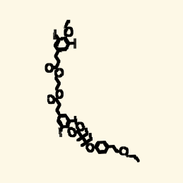 CCCOCCc1ccc(OC(C)(CC)C(C)(CC)C(=O)Oc2c(I)cc(CCC(=O)OCCCOC(=O)CCc3cc(I)c(OCC)c(I)c3)cc2I)cc1